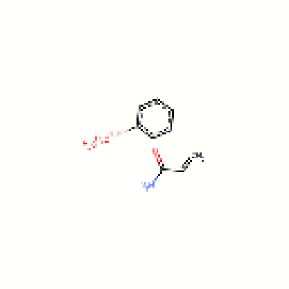 Bc1ccccc1.C=CC(N)=O.O.O